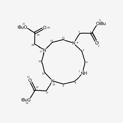 CC(C)COC(=O)CN1CCNCCN(CC(=O)OCC(C)C)CCN(CC(=O)OCC(C)C)CC1